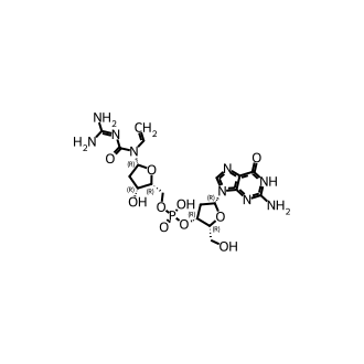 C=CN(C(=O)N=C(N)N)[C@H]1C[C@@H](O)[C@@H](COP(=O)(O)O[C@@H]2C[C@H](n3cnc4c(=O)[nH]c(N)nc43)O[C@@H]2CO)O1